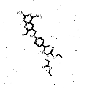 CCOC(=O)CC[C@H](NC(=O)c1ccc(NCc2cc3c(N)nc(N)nc3nc2CC)cc1)C(=O)OCC